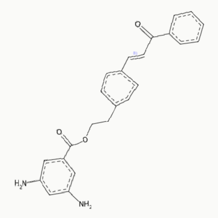 Nc1cc(N)cc(C(=O)OCCc2ccc(/C=C/C(=O)c3ccccc3)cc2)c1